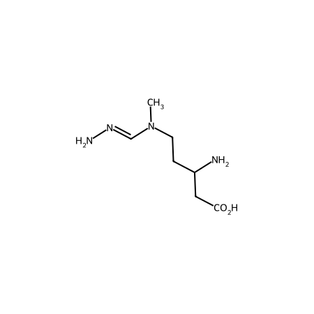 CN(C=NN)CCC(N)CC(=O)O